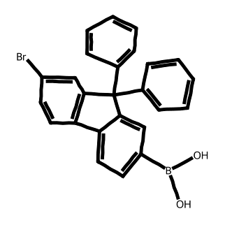 OB(O)c1ccc2c(c1)C(c1ccccc1)(c1ccccc1)c1cc(Br)ccc1-2